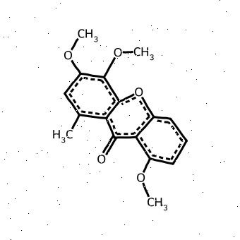 COc1cc(C)c2c(=O)c3c(OC)cccc3oc2c1OC